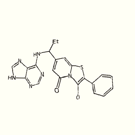 CCC(Nc1ncnc2[nH]cnc12)c1cc(=O)n2c(Cl)c(-c3ccccc3)sc2c1